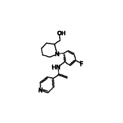 C=C(Nc1cc(F)ccc1N1CCCCC1CO)c1ccncc1